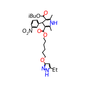 CCc1cc(OCCCCCCOC(=O)C2=C(C)NC(C)=C(C(=O)OCC(C)C)C2c2cccc([N+](=O)[O-])c2)n[nH]1